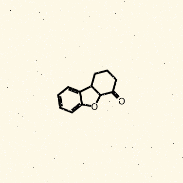 O=C1CCCC2c3ccccc3OC12